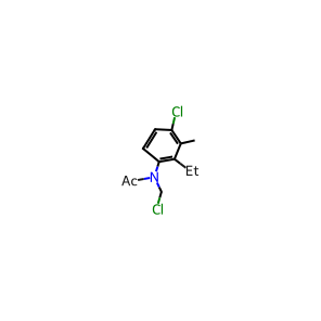 CCc1c(N(CCl)C(C)=O)ccc(Cl)c1C